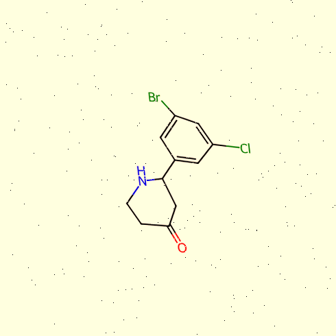 O=C1CCNC(c2cc(Cl)cc(Br)c2)C1